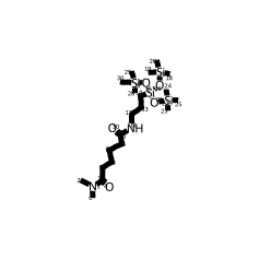 CN(C)C(=O)CCCCC(=O)NCCC[Si](O[Si](C)(C)C)(O[Si](C)(C)C)O[Si](C)(C)C